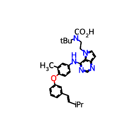 Cc1cc(Nc2ncnc3ccn(CCN(C(=O)O)C(C)(C)C)c23)ccc1Oc1cccc(/C=C/C(C)C)c1